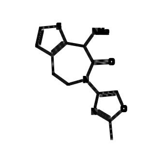 CNC1C(=O)N(c2coc(C)n2)CCc2ccsc21